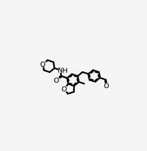 Cc1c(Cc2ccc(C=O)cc2)cc(C(=O)NC2CCOCC2)c2c1CCO2